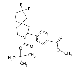 COC(=O)c1ccc(C2CC3(CCN2C(=O)OC(C)(C)C)CCC(F)(F)C3)cc1